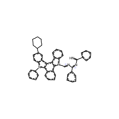 N=C(/N=C(\N=C\n1c2ccccc2c2c3c4cc(C5CCCCC5)ccc4n(-c4ccccc4)c3c3ccccc3c21)c1ccccc1)c1ccccc1